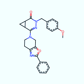 COc1ccc(CN2N=C(N3CCc4nc(-c5ccccc5)oc4C3)C3CC3C2=O)cc1